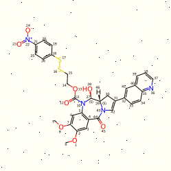 COc1cc2c(cc1OC)N(C(=O)OCCSSc1ccc([N+](=O)[O-])cc1)[C@@H](O)[C@@H]1CC(c3ccc4ncccc4c3)=CN1C2=O